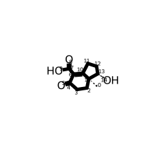 C[C@]12CCC(=O)C(C(=O)O)=C1CC[C@@H]2O